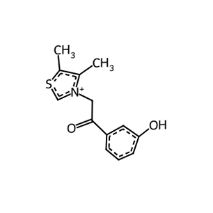 Cc1sc[n+](CC(=O)c2cccc(O)c2)c1C